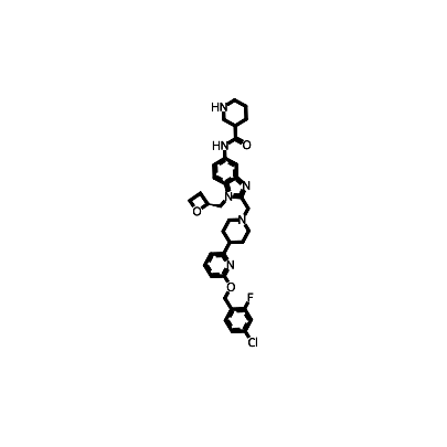 O=C(Nc1ccc2c(c1)nc(CN1CCC(c3cccc(OCc4ccc(Cl)cc4F)n3)CC1)n2C[C@@H]1CCO1)C1CCCNC1